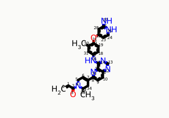 C=CC(=O)N1CC=C(c2ccc3ncnc(Nc4ccc(Oc5cc[nH]c(=N)c5)c(C)c4)c3n2)C[C@H]1C